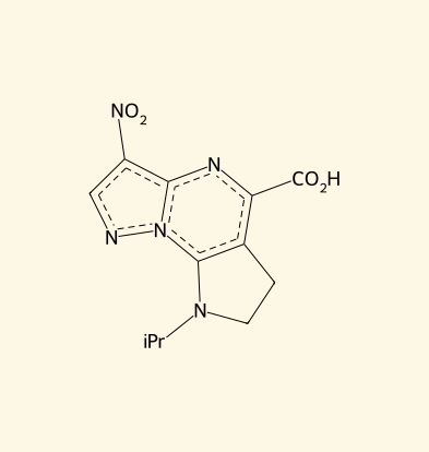 CC(C)N1CCc2c(C(=O)O)nc3c([N+](=O)[O-])cnn3c21